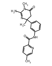 Cc1ccc(C(=O)Nc2cccc(C3(C)CC(=O)N(C)C(N)=N3)c2)nc1